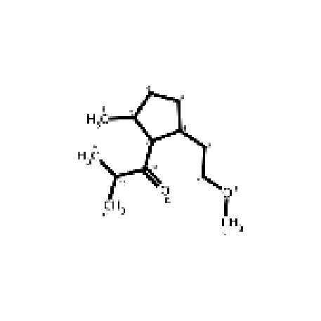 COCCC1CCC(C)C1C(=O)C(C)C